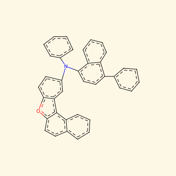 c1ccc(-c2ccc(N(c3ccccc3)c3ccc4oc5ccc6ccccc6c5c4c3)c3ccccc23)cc1